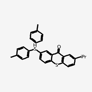 Cc1ccc([SH](c2ccc(C)cc2)c2ccc3sc4ccc(C(C)C)cc4c(=O)c3c2)cc1